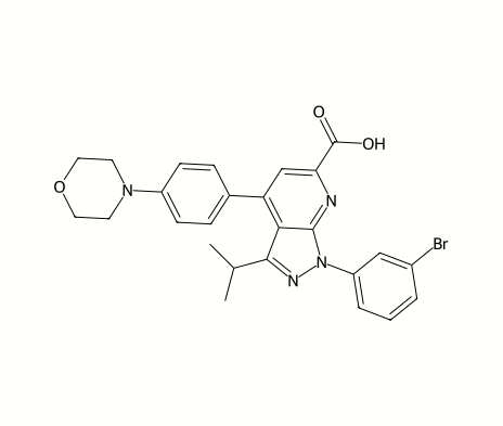 CC(C)c1nn(-c2cccc(Br)c2)c2nc(C(=O)O)cc(-c3ccc(N4CCOCC4)cc3)c12